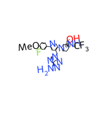 COc1ccc(-c2cc(Cn3cnc4c(N)ncnc43)c(N3CCC[C@@](CO)(NCC(F)(F)F)C3)cn2)cc1F